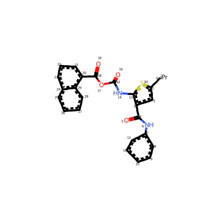 CC(C)c1cc(C(=O)Nc2ccccc2)c(NC(=O)OC(=O)c2cccc3ccccc23)s1